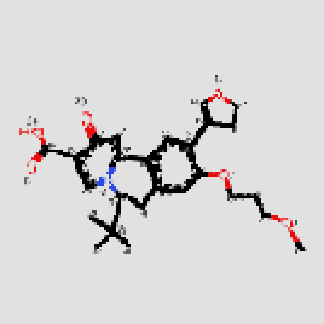 COCCCOc1cc2c(cc1C1=COCC1)-c1cc(=O)c(C(=O)O)cn1C(C(C)(C)C)C2